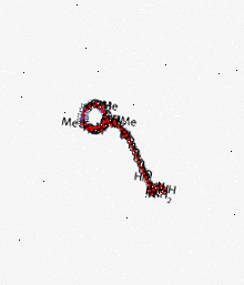 CO[C@H]1C[C@@H]2CC[C@@H](C)[C@@](O)(O2)C(=O)C(=O)N2CCCC[C@H]2C(=O)O[C@H]([C@H](N)C[C@@H]2CC[C@@H](OCCCCc3cn(CCOCCOCCOCCOCCOCCOCCC(=O)NCCCCn4nc(-c5cnc6[nH]ccc6c5)c5c(N)ncnc54)nn3)[C@H](OC)C2)CC(=O)[C@H](C)/C=C(\C)[C@@H](O)[C@@H](OC)C(=O)[C@H](C)C[C@H](C)/C=C/C=C/C=C/1C